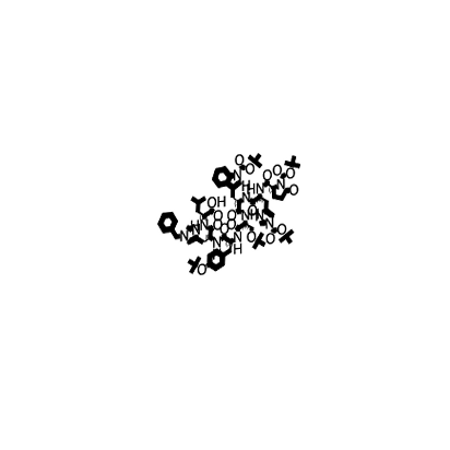 CC(C)C[C@H](NC(=O)[C@@H](Cc1cn(Cc2ccccc2)cn1)NC(=O)[C@H](Cc1ccc(OC(C)(C)C)cc1)NC(=O)[C@H](COC(C)(C)C)NC(=O)[C@H](Cc1cn(C(=O)OC(C)(C)C)c2ccccc12)NC(=O)[C@H](Cc1cn(C(=O)OC(C)(C)C)cn1)NC(=O)[C@@H]1CCC(=O)N1C(=O)OC(C)(C)C)C(=O)O